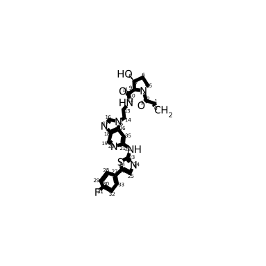 C=CC(=O)N1CC[C@@H](O)C1C(=O)NCCn1cnc2cnc(Nc3ncc(-c4ccc(F)cc4)s3)cc21